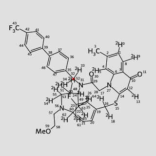 [2H]c1c(C)c([2H])c2c(c1[2H])c(=O)c([2H])c(SC([2H])([2H])c1cccc(F)c1F)n2CC(=O)N(C([2H])([2H])c1ccc(-c2ccc(C(F)(F)F)cc2)cc1)C1([2H])C([2H])([2H])C([2H])([2H])N(CCOC)C([2H])([2H])C1([2H])[2H]